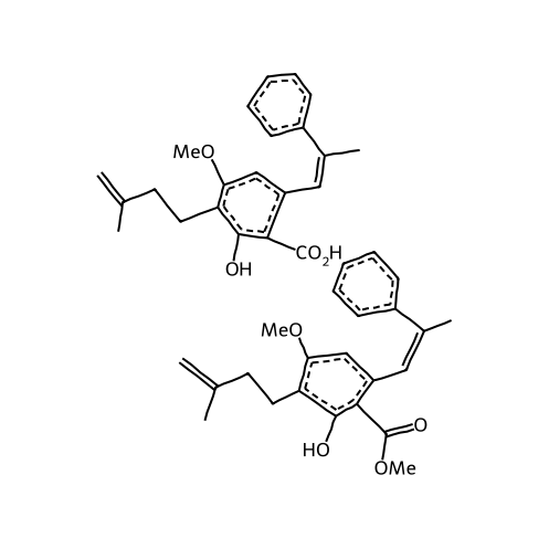 C=C(C)CCc1c(OC)cc(C=C(C)c2ccccc2)c(C(=O)O)c1O.C=C(C)CCc1c(OC)cc(C=C(C)c2ccccc2)c(C(=O)OC)c1O